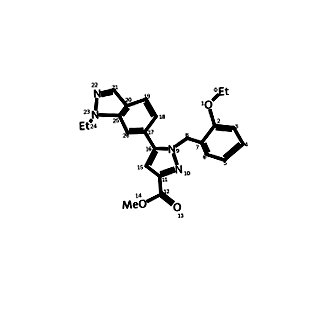 CCOc1ccccc1Cn1nc(C(=O)OC)cc1-c1ccc2cnn(CC)c2c1